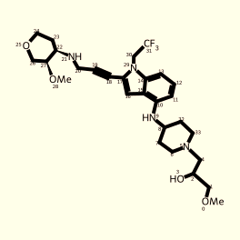 COCC(O)CN1CCC(Nc2cccc3c2cc(C#CCN[C@@H]2CCOC[C@@H]2OC)n3CC(F)(F)F)CC1